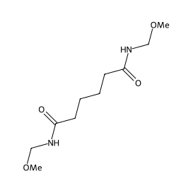 COCNC(=O)CCCCC(=O)NCOC